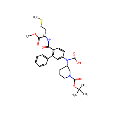 COC(=O)[C@H](CCSC)NC(=O)c1ccc(N(C(=O)O)C2CCCN(C(=O)OC(C)(C)C)C2)cc1-c1ccccc1